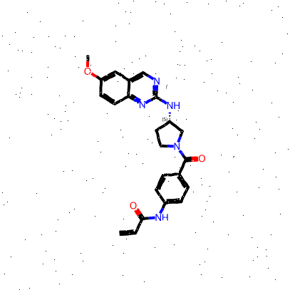 C=CC(=O)Nc1ccc(C(=O)N2CC[C@H](Nc3ncc4cc(OC)ccc4n3)C2)cc1